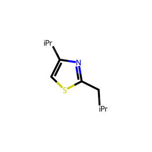 CC(C)Cc1nc(C(C)C)cs1